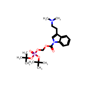 CN(C)CCc1cn(C(=O)OCOP(=O)(OC(C)(C)C)OC(C)(C)C)c2ccccc12